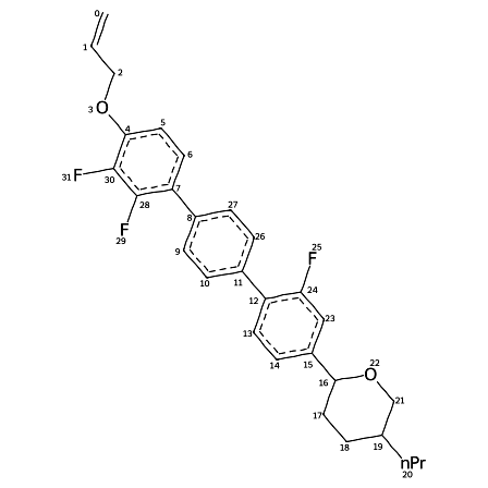 C=CCOc1ccc(-c2ccc(-c3ccc(C4CCC(CCC)CO4)cc3F)cc2)c(F)c1F